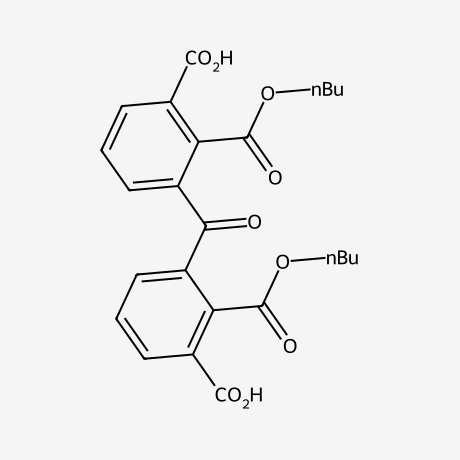 CCCCOC(=O)c1c(C(=O)O)cccc1C(=O)c1cccc(C(=O)O)c1C(=O)OCCCC